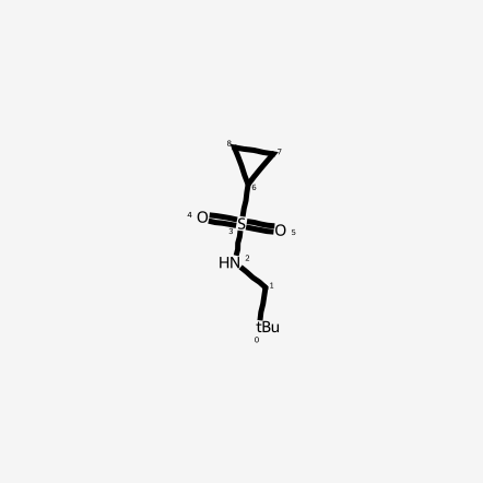 CC(C)(C)CNS(=O)(=O)C1CC1